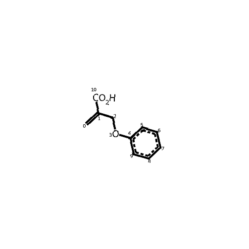 C=C(COc1ccccc1)C(=O)O